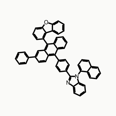 c1ccc(-c2ccc3c(-c4ccc(-c5nc6ccccc6n5-c5cccc6ccccc56)cc4)c4ccccc4c(-c4cccc5oc6ccccc6c45)c3c2)cc1